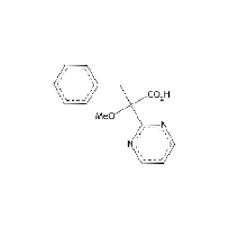 COC(Cc1ccccc1)(C(=O)O)c1ncccn1